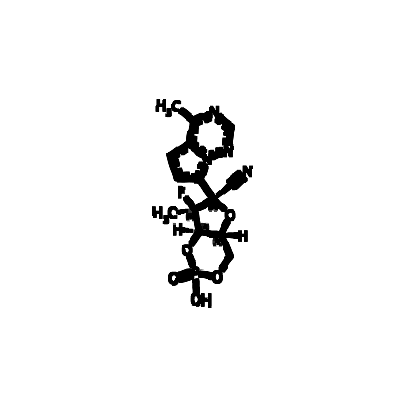 Cc1ncnn2c([C@]3(C#N)O[C@@H]4COP(=O)(O)O[C@H]4[C@@]3(C)F)ccc12